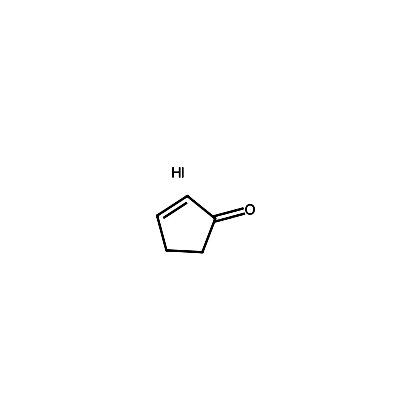 I.O=C1C=CCC1